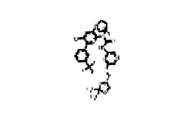 CC1(C)OC[C@H](COc2cncc(NC(=O)N3c4nc(-c5cccc(C(F)(F)F)c5)c(Cl)cc4N4CC[C@H]3C4)n2)O1